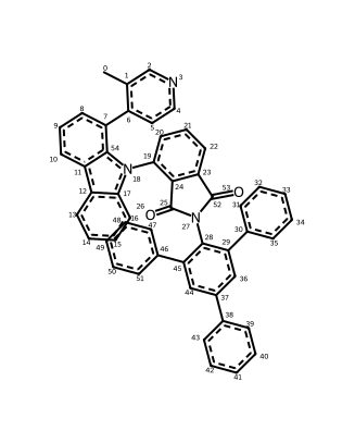 Cc1cnccc1-c1cccc2c3ccccc3n(-c3cccc4c3C(=O)N(c3c(-c5ccccc5)cc(-c5ccccc5)cc3-c3ccccc3)C4=O)c12